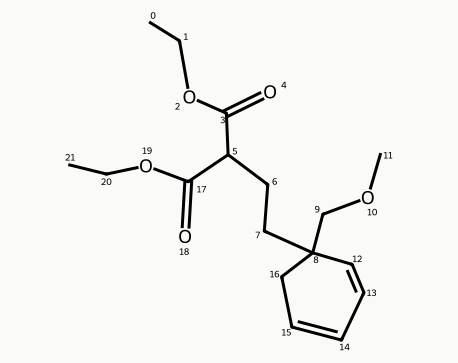 CCOC(=O)C(CCC1(COC)C=CC=CC1)C(=O)OCC